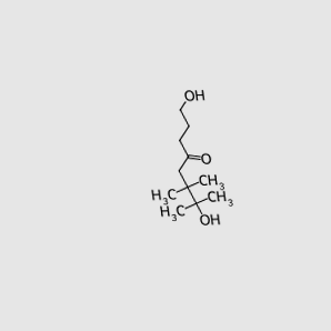 CC(C)(O)C(C)(C)CC(=O)CCCO